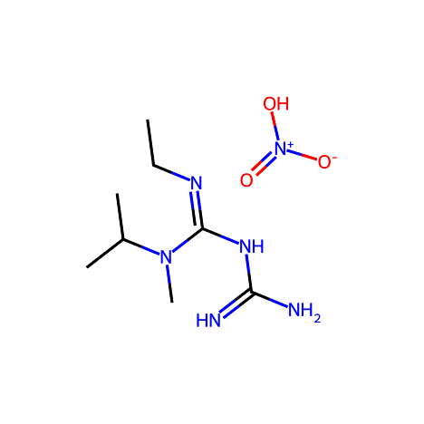 CC/N=C(/NC(=N)N)N(C)C(C)C.O=[N+]([O-])O